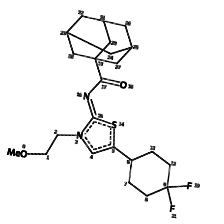 COCCn1cc(C2CCC(F)(F)CC2)s/c1=N\C(=O)C12CC3CC(CC(C3)C1)C2